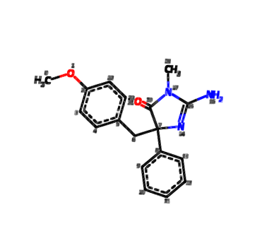 COc1ccc(CC2(c3ccccc3)N=C(N)N(C)C2=O)cc1